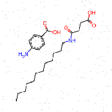 CCCCCCCCCCCCNC(=O)CCC(=O)O.Nc1ccc(C(=O)O)cc1